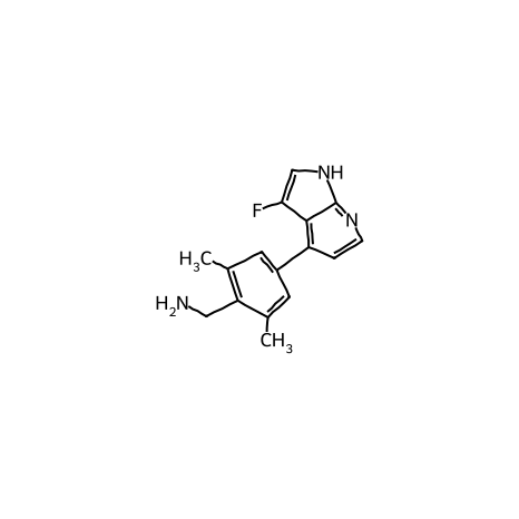 Cc1cc(-c2ccnc3[nH]cc(F)c23)cc(C)c1CN